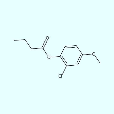 CCCC(=O)Oc1ccc(OC)cc1Cl